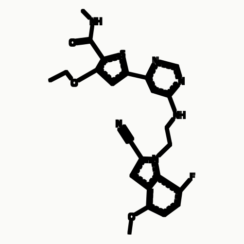 CCOc1cc(-c2cc(NCCn3c(C#N)cc4c(OC)ccc(F)c43)ncn2)sc1C(=O)NC